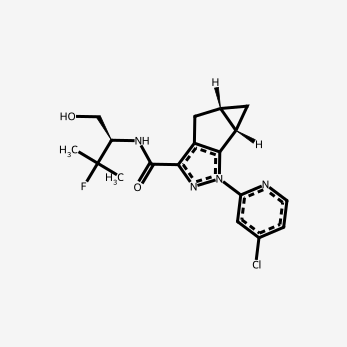 CC(C)(F)[C@@H](CO)NC(=O)c1nn(-c2cc(Cl)ccn2)c2c1C[C@@H]1C[C@H]21